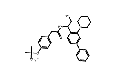 CCOC(=O)C(C)(C)Oc1ccc(CC(=O)NC(CC(C)C)c2ccc(-c3ccccc3)cc2N2CCCCC2)cc1